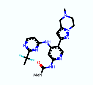 CNC(=O)Nc1cc(Nc2ccnc(C(C)(F)F)n2)c(-c2cc3n(n2)CCN(C)C3)cn1